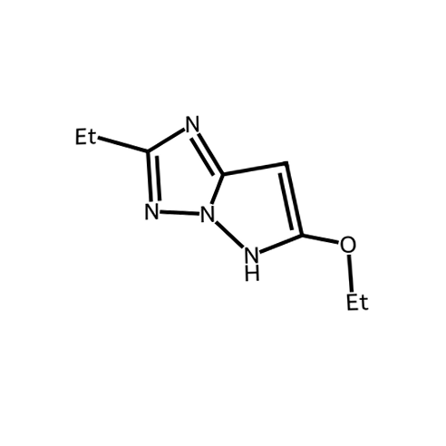 CCOc1cc2nc(CC)nn2[nH]1